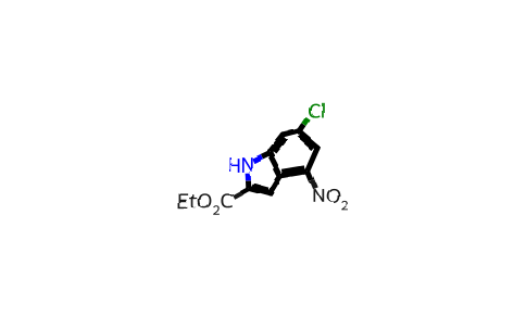 CCOC(=O)c1cc2c([N+](=O)[O-])cc(Cl)cc2[nH]1